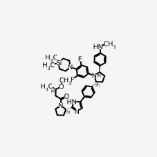 CNc1ccc([C@H]2CC[C@H](c3ccc(-c4cnc([C@@H]5CCCN5C(=O)C[C@@H](C)OC)[nH]4)cc3)N2c2cc(F)c(N3CC[Si](C)(C)CC3)c(F)c2)cc1